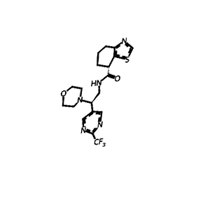 O=C(NC[C@@H](c1cnc(C(F)(F)F)nc1)N1CCOCC1)[C@@H]1CCCc2ncsc21